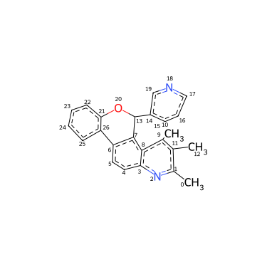 Cc1nc2ccc3c(c2c(C)c1C)C(c1cccnc1)Oc1ccccc1-3